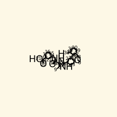 COc1ccc(C2NC(C)=C(C(=O)Nc3cccc(C(=O)O)c3)N2)cc1-c1c(C)cccc1C